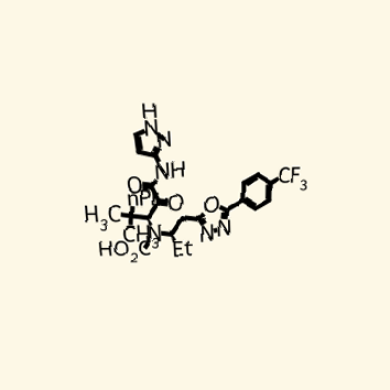 CCCC(C)(C)[C@@H](C(=O)C(=O)Nc1cc[nH]n1)N(C(=O)O)[C@H](CC)Cc1nnc(-c2ccc(C(F)(F)F)cc2)o1